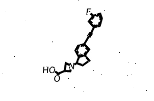 O=C(O)C1CN(C2CCc3cc(C#Cc4cccc(F)c4)ccc32)C1